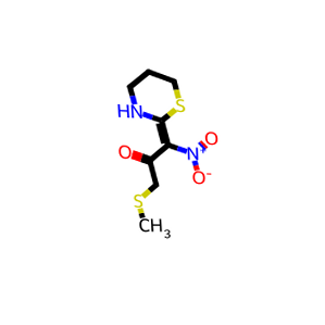 CSCC(=O)C(=C1NCCCS1)[N+](=O)[O-]